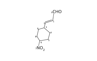 O=C/C=C/C1CCC([N+](=O)[O-])CC1